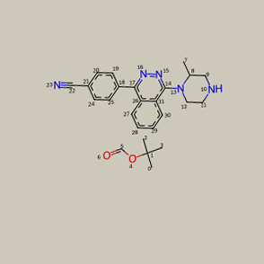 CC(C)(C)OC=O.CC1CNCCN1c1nnc(-c2ccc(C#N)cc2)c2ccccc12